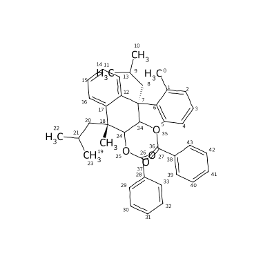 Cc1ccccc1[C@]1(CC(C)C)c2ccccc2[C@@](C)(CC(C)C)C(OC(=O)c2ccccc2)C1OC(=O)c1ccccc1